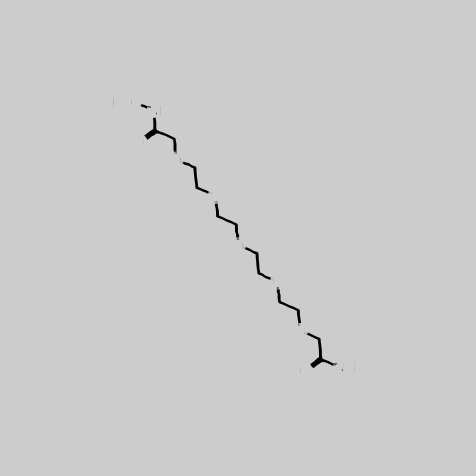 CNC(=O)COCCOCCOCCOCCOCC(N)=O